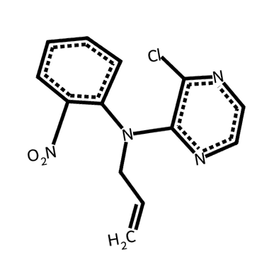 C=CCN(c1ccccc1[N+](=O)[O-])c1nccnc1Cl